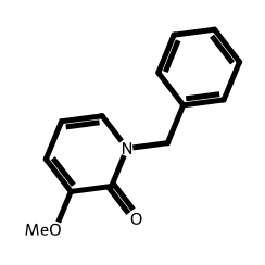 COc1cccn(Cc2ccccc2)c1=O